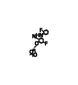 CC1(C)OC[C@@H](CCOc2cc(F)cc(Nc3ccccc3F)c2C#N)O1